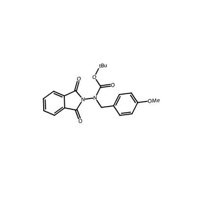 COc1ccc(CN(C(=O)OC(C)(C)C)N2C(=O)c3ccccc3C2=O)cc1